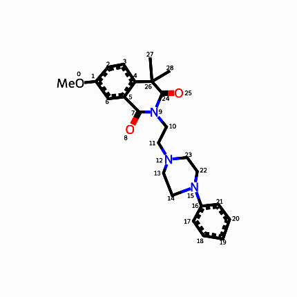 COc1ccc2c(c1)C(=O)N(CCN1CCN(c3ccccc3)CC1)C(=O)C2(C)C